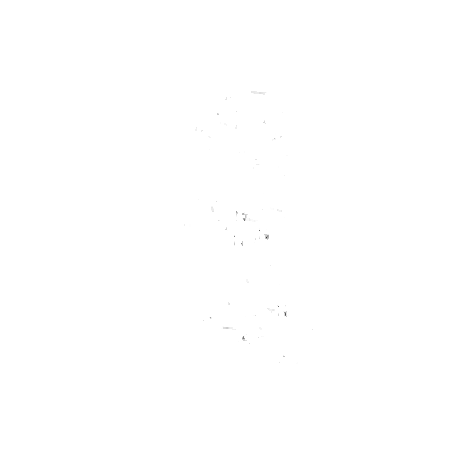 c1ccc(-c2nc(-c3ccc(-c4nc5ccccc5c5sc6ccccc6c45)cc3)nc(-c3cccc(-c4ccc5c6ccccc6c6ccccc6c5c4)c3)n2)cc1